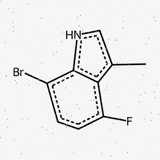 Cc1c[nH]c2c(Br)ccc(F)c12